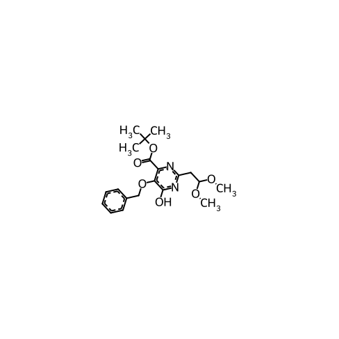 COC(Cc1nc(O)c(OCc2ccccc2)c(C(=O)OC(C)(C)C)n1)OC